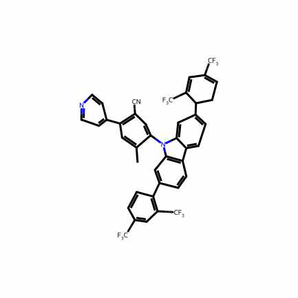 Cc1cc(-c2ccncc2)c(C#N)cc1-n1c2cc(-c3ccc(C(F)(F)F)cc3C(F)(F)F)ccc2c2ccc(C3CC=C(C(F)(F)F)C=C3C(F)(F)F)cc21